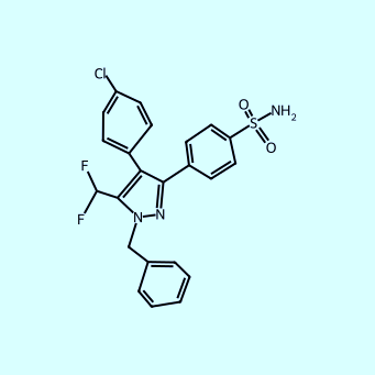 NS(=O)(=O)c1ccc(-c2nn(Cc3ccccc3)c(C(F)F)c2-c2ccc(Cl)cc2)cc1